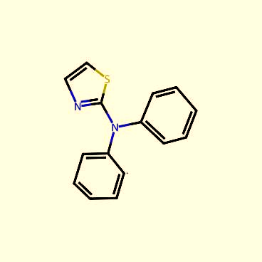 [c]1ccccc1N(c1ccccc1)c1nccs1